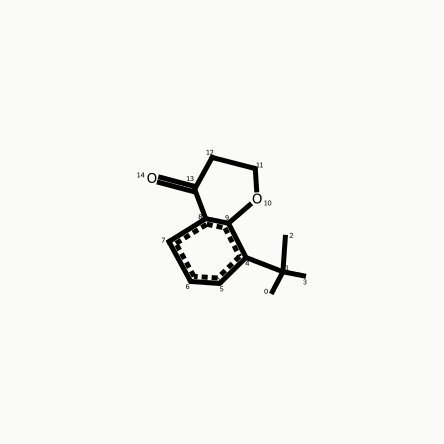 CC(C)(C)c1cccc2c1OCCC2=O